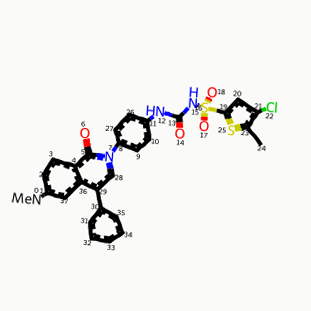 CNc1ccc2c(=O)n(-c3ccc(NC(=O)NS(=O)(=O)c4cc(Cl)c(C)s4)cc3)cc(-c3ccccc3)c2c1